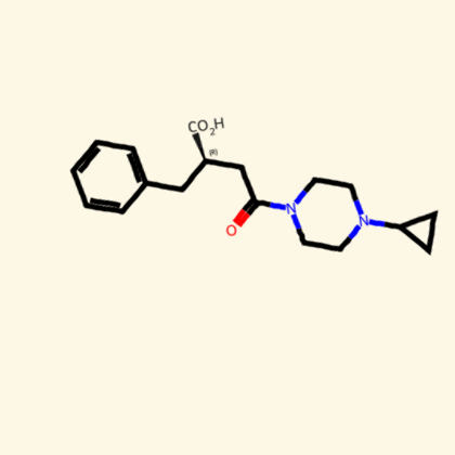 O=C(O)[C@@H](CC(=O)N1CCN(C2CC2)CC1)Cc1ccccc1